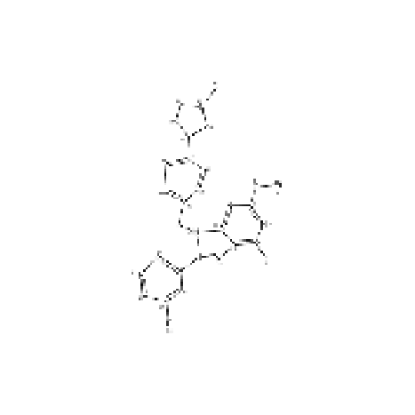 CCOc1nc(C)c2nc(-c3cncc(F)c3)n(Cc3ccc(C4CCN(C)C4)cc3)c2n1